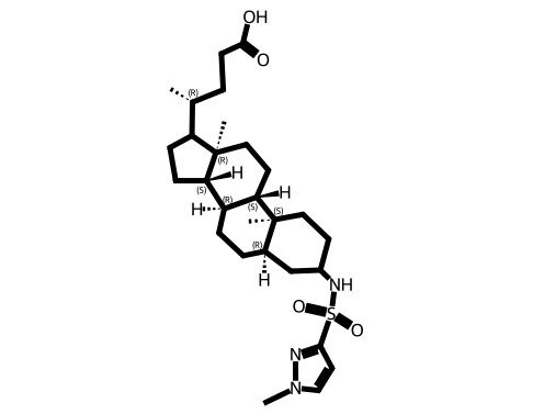 C[C@H](CCC(=O)O)C1CC[C@H]2[C@@H]3CC[C@@H]4CC(NS(=O)(=O)c5ccn(C)n5)CC[C@]4(C)[C@H]3CC[C@]12C